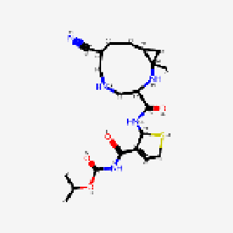 CC(C)OC(=O)NC(=O)C1=CCSC1NC(=O)C1CNCC(C#N)CCC2CC2(C)N1